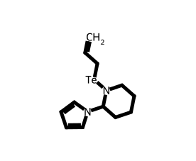 C=CC[Te]N1CCCCC1n1cccc1